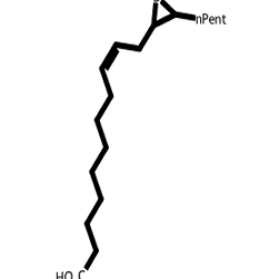 CCCCCC1OC1C/C=C\CCCCCCCC(=O)O